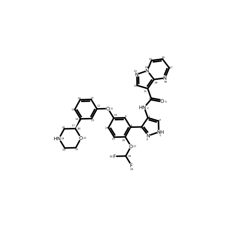 O=C(Nc1c[nH]nc1-c1cc(Oc2cccc([C@@H]3CNCCO3)c2)ccc1OC(F)F)c1cnn2cccnc12